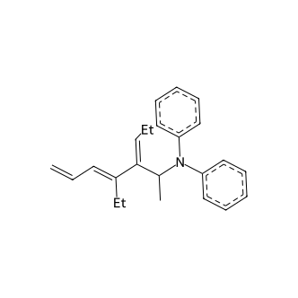 C=C/C=C(CC)/C(=C/CC)C(C)N(c1ccccc1)c1ccccc1